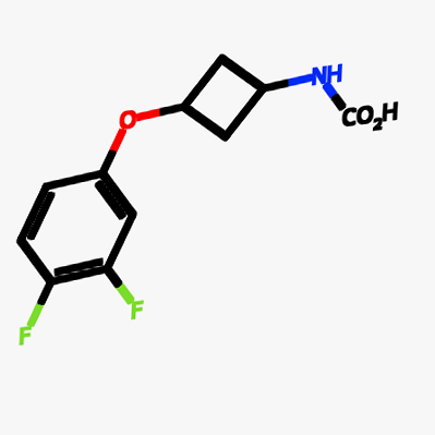 O=C(O)NC1CC(Oc2ccc(F)c(F)c2)C1